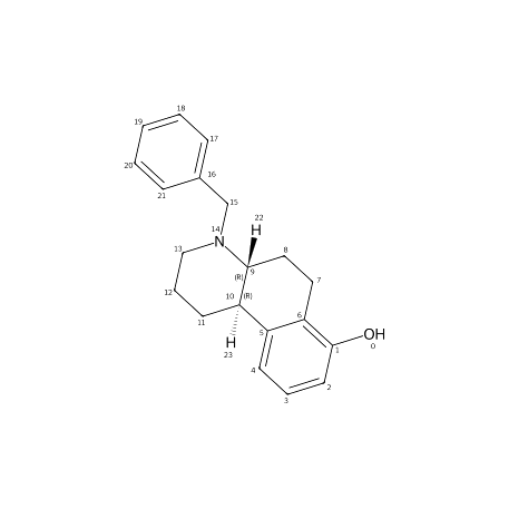 Oc1cccc2c1CC[C@@H]1[C@@H]2CCCN1Cc1ccccc1